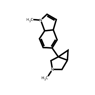 CN1CC2CC2(C2=CC3C=CN(C)C3C=C2)C1